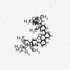 C=CCC(N[S@+]([O-])C(C)(C)C)c1ccc(-c2cccc(-c3cccc(-c4ccc(C(CC=C)N[S@+]([O-])C(C)(C)C)c(OC)n4)c3Cl)c2Cl)nc1OC